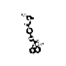 Cc1cc(C(F)(F)F)nn1CC(=O)N1CCC(c2nc(C(=O)N(C)C3(C=O)C=CCc4ccccc43)cs2)CC1